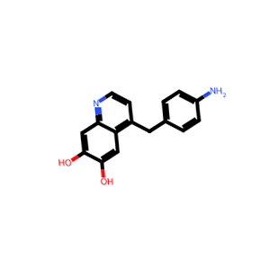 Nc1ccc(Cc2ccnc3cc(O)c(O)cc23)cc1